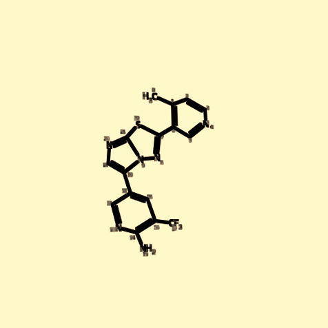 Cc1ccncc1-c1nn2c(-c3cnc(N)c(C(F)(F)F)c3)cnc2s1